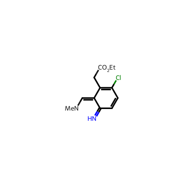 CCOC(=O)CC1=C(Cl)C=CC(=N)/C1=C\NC